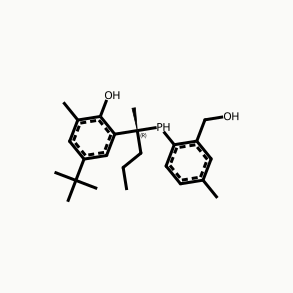 CCC[C@@](C)(Pc1ccc(C)cc1CO)c1cc(C(C)(C)C)cc(C)c1O